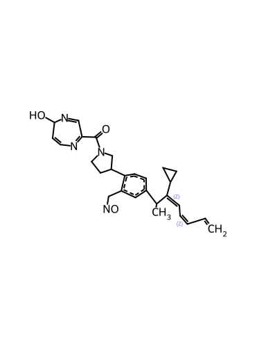 C=C/C=C\C=C(\C1CC1)C(C)c1ccc(C2CCN(C(=O)C3=NC=CC(O)N=C3)C2)c(CN=O)c1